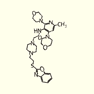 Cc1cc(N2CCOCC2)c(NC(=O)CN2CCN(CCSc3nc4ccccc4o3)CC2)c(N2CCOCC2)n1